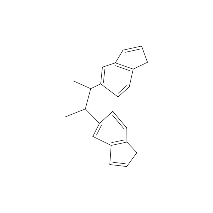 CC(c1ccc2c(c1)C=CC2)C(C)c1ccc2c(c1)C=CC2